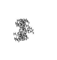 C=C(C)C(=O)OC12CC3CC(C(C)(C)OC(C)(C)C(C)(C)O)(C1)CC(C(C)(C)OC(C)(C)C(C)(C)O)(C3)C2